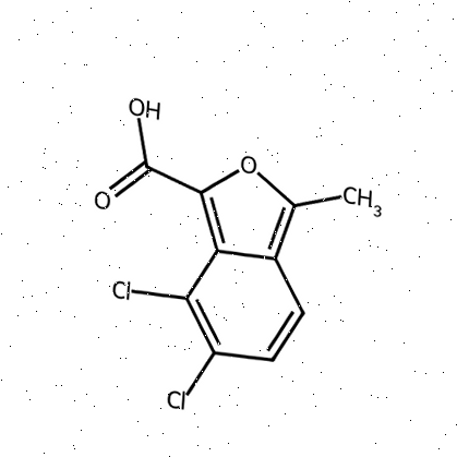 Cc1oc(C(=O)O)c2c(Cl)c(Cl)ccc12